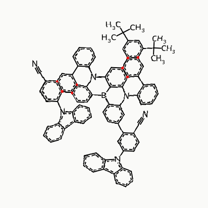 CC(C)(C)c1cc(-c2cc3c4c(c2)N(c2ccccc2-c2ccccc2)c2cc(-c5cc(C#N)ccc5-n5c6ccccc6c6ccccc65)ccc2B4c2ccc(-c4cc(-n5c6ccccc6c6ccccc65)ccc4C#N)cc2N3c2ccccc2-c2ccccc2)cc(C(C)(C)C)c1